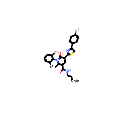 CCc1cccc(CC)c1-n1c(C)c(C(=O)NCCNC)cc(-c2nc(-c3ccc(Cl)cc3)cs2)c1=O